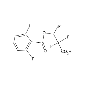 CC(C)C(OC(=O)c1c(F)cccc1I)C(F)(F)C(=O)O